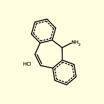 Cl.NC1c2ccccc2C=Cc2ccccc21